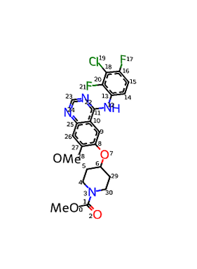 COC(=O)N1CCC(Oc2cc3c(Nc4ccc(F)c(Cl)c4F)ncnc3cc2OC)CC1